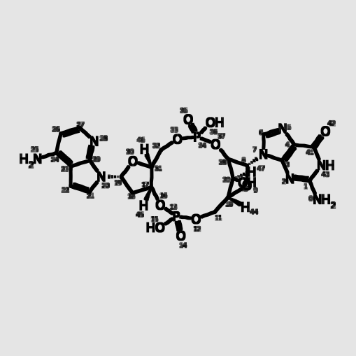 Nc1nc2c(ncn2[C@@H]2O[C@@H]3COP(=O)(O)O[C@@H]4C[C@H](n5ccc6c(N)ccnc65)O[C@@H]4COP(=O)(O)OC2[C@H]3O)c(=O)[nH]1